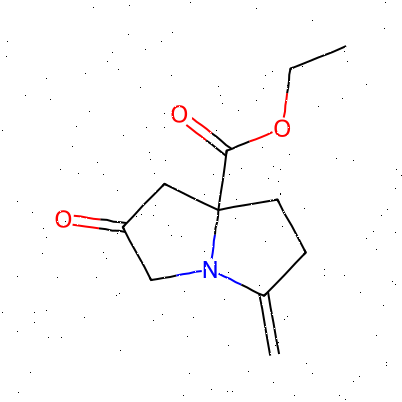 C=C1CCC2(C(=O)OCC)CC(=O)CN12